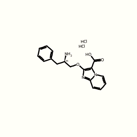 Cl.Cl.N[C@@H](COc1nc2ccccn2c1C(=O)O)Cc1ccccc1